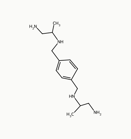 CC(CN)NCc1ccc(CNC(C)CN)cc1